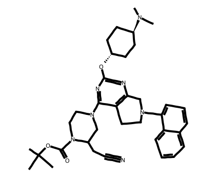 CN(C)[C@H]1CC[C@H](Oc2nc3c(c(N4CCN(C(=O)OC(C)(C)C)C(CC#N)C4)n2)CCN(c2cccc4ccccc24)C3)CC1